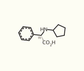 O=C(O)[C@@H](NC1CCCC1)c1ccccc1